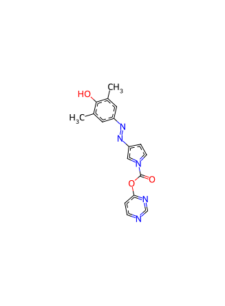 Cc1cc(/N=N/c2ccn(C(=O)Oc3ccncn3)c2)cc(C)c1O